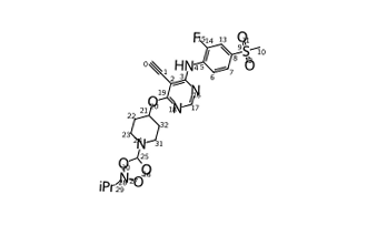 C#Cc1c(Nc2ccc(S(C)(=O)=O)cc2F)ncnc1OC1CCN(C2OON(C(C)C)O2)CC1